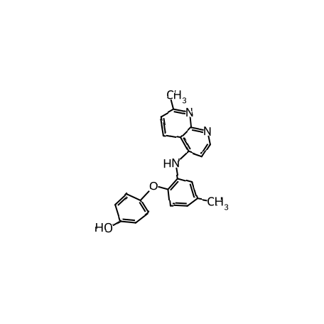 Cc1ccc(Oc2ccc(O)cc2)c(Nc2ccnc3nc(C)ccc23)c1